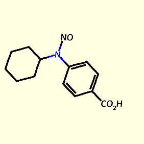 O=NN(c1ccc(C(=O)O)cc1)C1CCCCC1